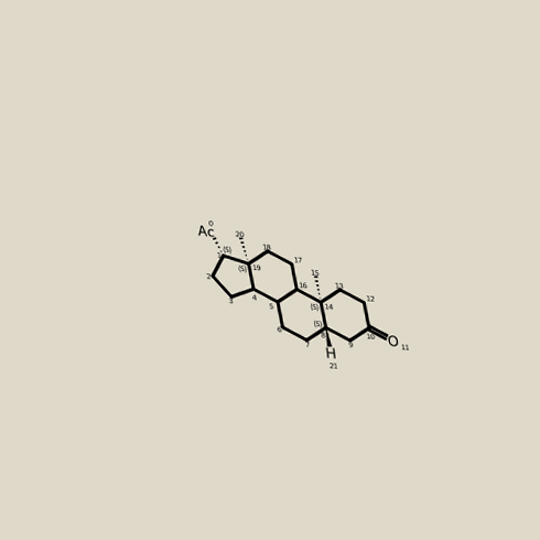 CC(=O)[C@H]1CCC2C3CC[C@H]4CC(=O)CC[C@]4(C)C3CC[C@@]21C